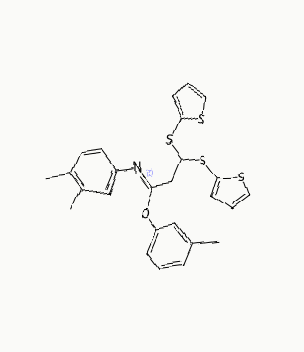 Cc1cccc(O/C(CC(Sc2cccs2)Sc2cccs2)=N\c2ccc(C)c(C)c2)c1